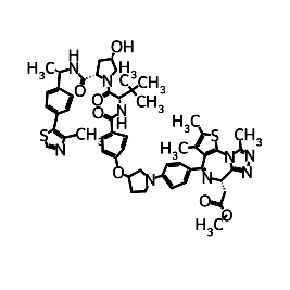 COC(=O)C[C@@H]1N=C(c2ccc(N3CCC(Oc4ccc(C(=O)N[C@H](C(=O)N5C[C@H](O)C[C@H]5C(=O)N[C@@H](C)c5ccc(-c6scnc6C)cc5)C(C)(C)C)cc4)C3)cc2)c2c(sc(C)c2C)-n2c(C)nnc21